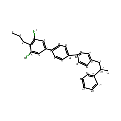 CCCc1c(F)cc(-c2ccc(-c3ccc(C[C@@H](C)c4ccccc4)cc3)cc2)cc1F